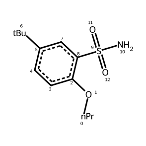 CCCOc1ccc(C(C)(C)C)cc1S(N)(=O)=O